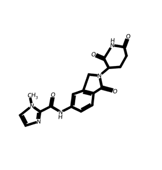 Cn1ccnc1C(=O)Nc1ccc2c(c1)CN(C1CCC(=O)NC1=O)C2=O